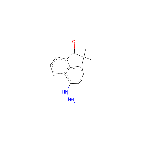 CC1(C)C(=O)c2cccc3c(NN)ccc1c23